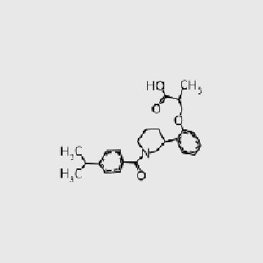 CC(COc1ccccc1C1CCCN(C(=O)c2ccc(C(C)C)cc2)C1)C(=O)O